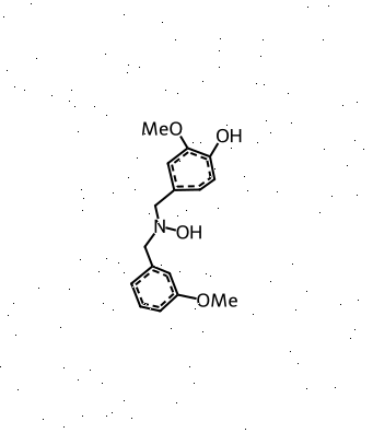 COc1cccc(CN(O)Cc2ccc(O)c(OC)c2)c1